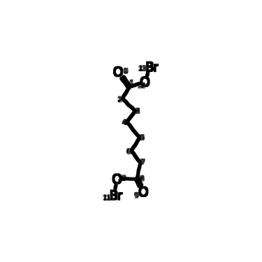 O=C(CCCCCCC(=O)OBr)OBr